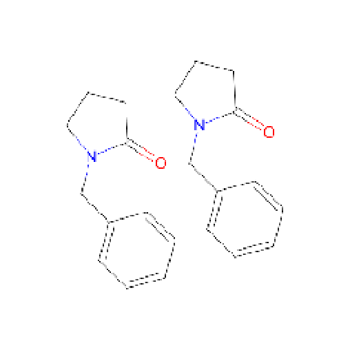 O=C1CCCN1Cc1ccccc1.O=C1CCCN1Cc1ccccc1